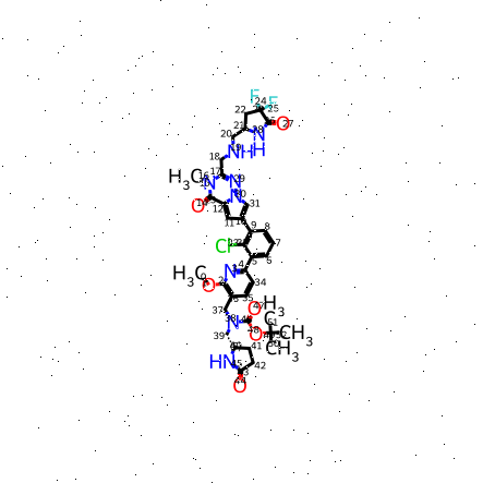 COc1nc(-c2cccc(-c3cc4c(=O)n(C)c(CNCC5CC(F)(F)C(=O)N5)nn4c3)c2Cl)ccc1CN(C[C@@H]1CCC(=O)N1)C(=O)OC(C)(C)C